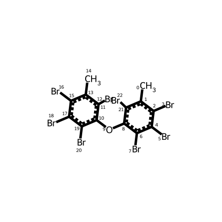 Cc1c(Br)c(Br)c(Br)c(Oc2c(Br)c(C)c(Br)c(Br)c2Br)c1Br